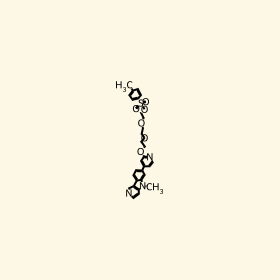 Cc1ccc(S(=O)(=O)OCCOCCOCCOc2cc(-c3ccc4c5cnccc5n(C)c4c3)ccn2)cc1